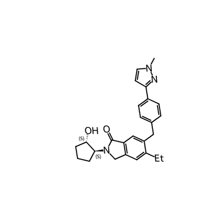 CCc1cc2c(cc1Cc1ccc(-c3ccn(C)n3)cc1)C(=O)N([C@H]1CCC[C@@H]1O)C2